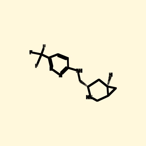 FC(F)(F)c1ccc(NC[C@@H]2C[C@H]3CC3CN2)nn1